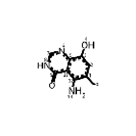 Cc1cc(O)c2nc[nH]c(=O)c2c1N